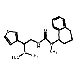 CN(C)C(CNC(=O)N(C)C1CCCc2ccccc21)c1ccsc1